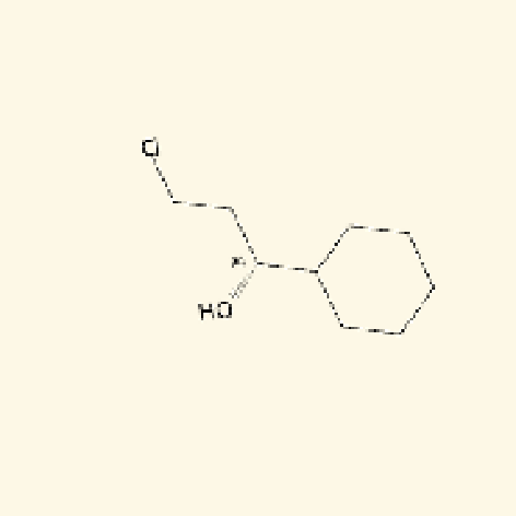 O[C@H](CCCl)C1CCCCC1